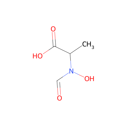 CC(C(=O)O)N(O)C=O